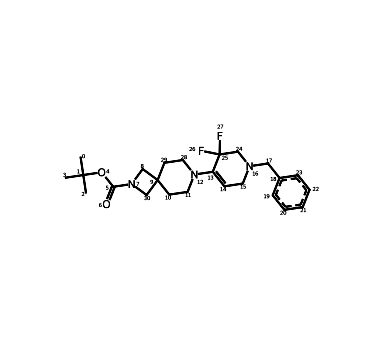 CC(C)(C)OC(=O)N1CC2(CCN(C3=CCN(Cc4ccccc4)CC3(F)F)CC2)C1